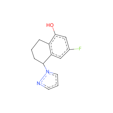 Oc1cc(F)cc2c1CCCC2n1cccn1